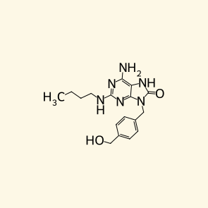 CCCCNc1nc(N)c2[nH]c(=O)n(Cc3ccc(CO)cc3)c2n1